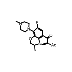 CC(=O)c1cn2c3c(c(N4CCN(C)CC4)c(F)cc3c1=O)OC[C@@H]2C